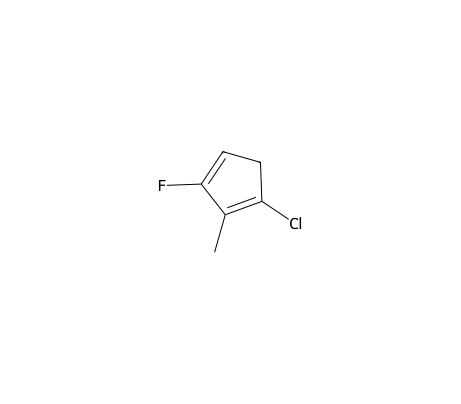 CC1=C(Cl)CC=C1F